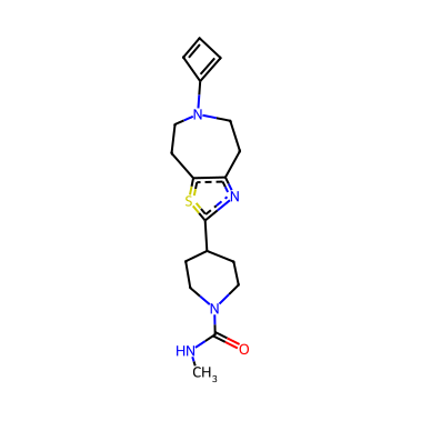 CNC(=O)N1CCC(c2nc3c(s2)CCN(C2=CC=C2)CC3)CC1